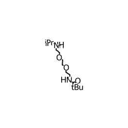 CC(C)NCCOCCOCCNC(=O)C(C)(C)C